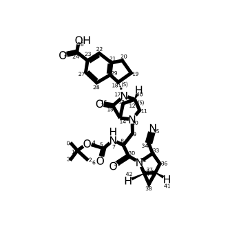 CC(C)(C)OC(=O)NC(CN1C[C@@H]2CC1C(=O)N2[C@H]1CCc2cc(C(=O)O)ccc21)C(=O)N1C(C#N)C[C@@H]2C[C@@H]21